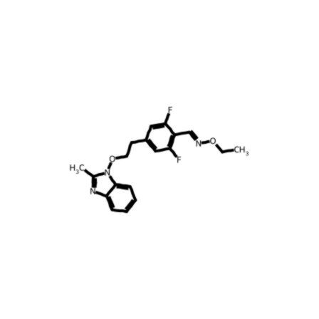 CCON=Cc1c(F)cc(CCOn2c(C)nc3ccccc32)cc1F